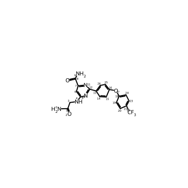 NC(=O)CNc1cc(C(N)=O)nc(-c2ccc(Oc3ccc(C(F)(F)F)cc3)cc2)n1